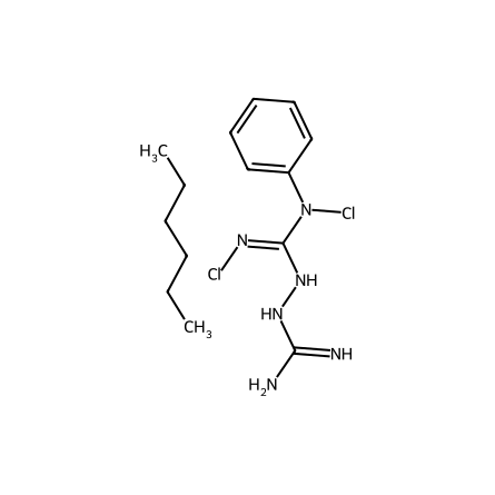 CCCCCC.N=C(N)NNC(=NCl)N(Cl)c1ccccc1